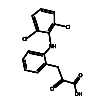 O=C(O)C(=O)Cc1ccccc1Nc1c(Cl)cccc1Cl